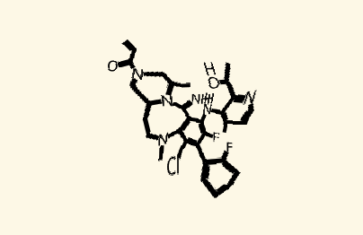 C=CC(=O)N1CC(C)N2C(=N)c3c(Nc4c(C)ccnc4C(C)O)c(F)c(-c4ccccc4F)c(Cl)c3N(C)CCC2C1